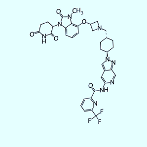 Cn1c(=O)n(C2CCC(=O)NC2=O)c2cccc(OC3CN(C[C@H]4CC[C@H](n5cc6cc(NC(=O)c7cccc(C(F)(F)F)n7)ncc6n5)CC4)C3)c21